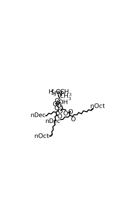 CCCCCCCC/C=C\CCCCCCCC(=O)C(CCCCCCCCCCCCCC)C(=O)OCC(COP(=O)(O)OCC[N+](C)(C)C)OC(=O)C(CCCCCCCCCCCCCC)C(=O)CCCCCCC/C=C\CCCCCCCC.[Sn+2]